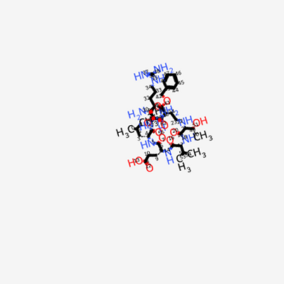 CC(C)C[C@@H](NC(=O)[C@@H](CCC(=O)O)NC(=O)[C@H](NC(=O)[C@H](NCC[C@@H](NC(=O)[C@H](N)CCCCNC(=N)N)C(=O)OCc1ccccc1)[C@@H](C)O)C(C)C)C(=O)N[C@H](C)C(N)=O